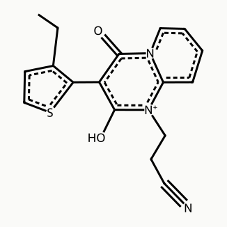 CCc1ccsc1-c1c(O)[n+](CCC#N)c2ccccn2c1=O